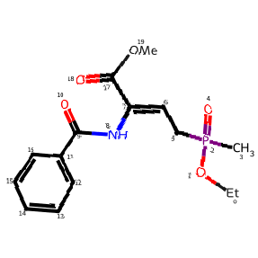 CCOP(C)(=O)C/C=C(\NC(=O)c1ccccc1)C(=O)OC